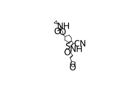 N#Cc1c(NC(=O)C=Cc2ccoc2)sc2c1CCC(COC(=O)NC1CC1)C2